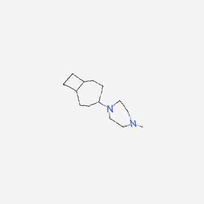 CN1CCN(C2CCC3CCC3CC2)CC1